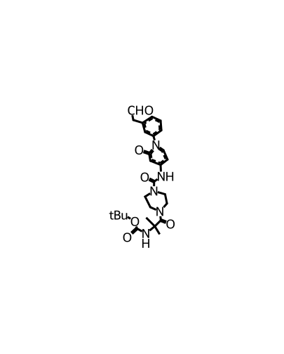 CC(C)(C)OC(=O)NC(C)(C)C(=O)N1CCN(C(=O)Nc2ccn(-c3cccc(CC=O)c3)c(=O)c2)CC1